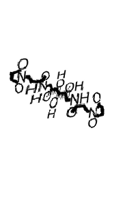 O=C(CCN1C(=O)C=CC1=O)NC[C@@H](O)[C@@H](O)[C@H](O)[C@H](O)CNC(=O)CCN1C(=O)C=CC1=O